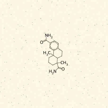 CC1(C(N)=O)CCCC2(C)c3cc(C(N)=O)ccc3CCC12